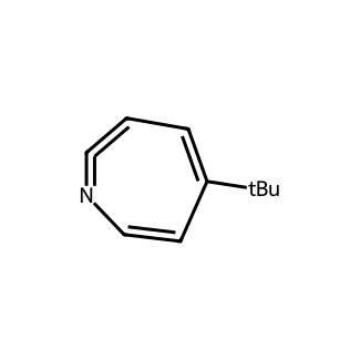 CC(C)(C)C1=CC=C=NC=C1